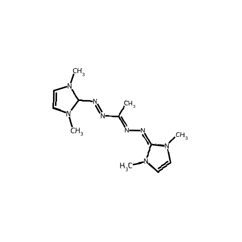 CC(/N=N/C1N(C)C=CN1C)=N\N=c1n(C)ccn1C